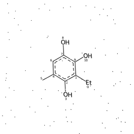 CCc1c(O)c(C)cc(O)c1O